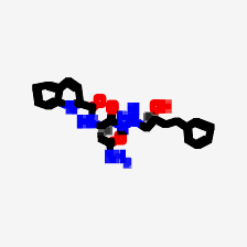 NC(=O)C[C@H](NC(=O)c1ccc2ccccc2n1)C(=O)NNC[C@H](O)CCc1ccccc1